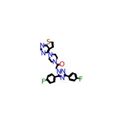 O=C(Cn1nc(-c2ccc(F)cc2)nc1-c1ccc(F)cc1)N1CCN(c2ncnc3sccc23)CC1